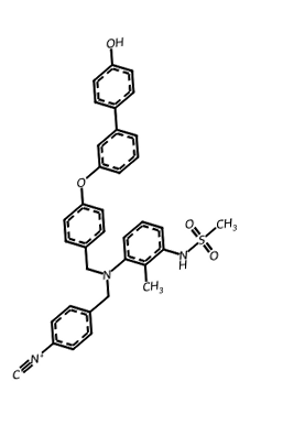 [C-]#[N+]c1ccc(CN(Cc2ccc(Oc3cccc(-c4ccc(O)cc4)c3)cc2)c2cccc(NS(C)(=O)=O)c2C)cc1